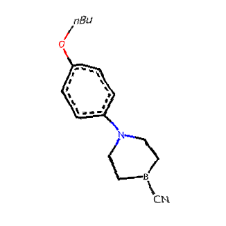 CCCCOc1ccc(N2CCB(C#N)CC2)cc1